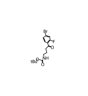 CC(C)(C)OC(=O)NCCCC(=O)c1ccc(Br)cc1F